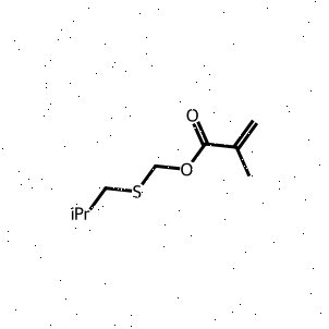 C=C(C)C(=O)OCSCC(C)C